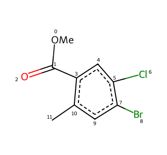 COC(=O)c1cc(Cl)c(Br)cc1C